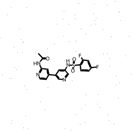 CC(=O)Nc1cc(-c2cncc(NS(=O)(=O)c3ccc(F)cc3F)c2)ccn1